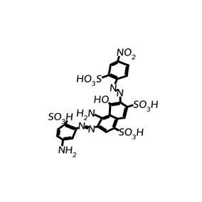 Nc1ccc(S(=O)(=O)O)c(N=Nc2cc(S(=O)(=O)O)c3cc(S(=O)(=O)O)c(N=Nc4ccc([N+](=O)[O-])cc4S(=O)(=O)O)c(O)c3c2N)c1